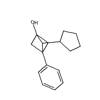 OC12CC(c3ccccc3)(C1)C2C1CCCC1